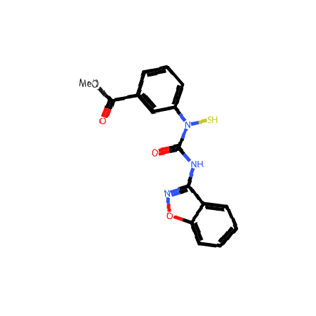 COC(=O)c1cccc(N(S)C(=O)Nc2noc3ccccc23)c1